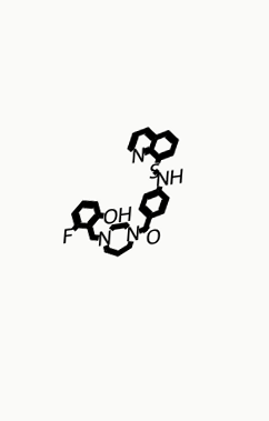 O=C(c1ccc(NSc2cccc3cccnc23)cc1)N1CCCN(Cc2c(O)cccc2F)CC1